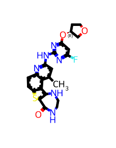 Cc1cc(Nc2nc(F)cc(O[C@@H]3CCOC3)n2)nc2ccc3sc4c(c3c12)NCCNC4=O